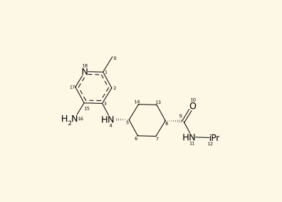 Cc1cc(N[C@H]2CC[C@@H](C(=O)NC(C)C)CC2)c(N)cn1